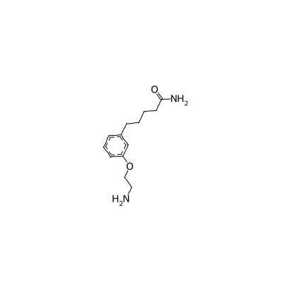 NCCOc1cccc(CCCCC(N)=O)c1